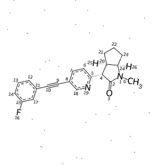 CN1C(=O)[C@H](c2ccc(C#Cc3cccc(F)c3)cn2)[C@H]2CCC[C@H]21